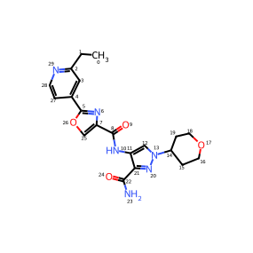 CCc1cc(-c2nc(C(=O)Nc3cn(C4CCOCC4)nc3C(N)=O)co2)ccn1